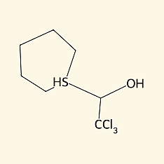 OC([SH]1CCCCC1)C(Cl)(Cl)Cl